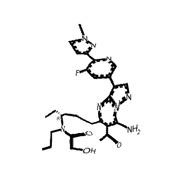 CCCN(C(=O)CO)[C@H](CC)CCc1nc2c(-c3cnc(-c4ccn(C)n4)c(F)c3)cnn2c(N)c1C(C)=O